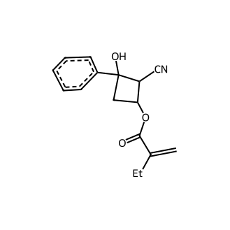 C=C(CC)C(=O)OC1CC(O)(c2ccccc2)C1C#N